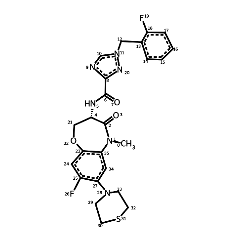 CN1C(=O)[C@@H](NC(=O)c2ncn(Cc3ccccc3F)n2)COc2cc(F)c(N3CCSCC3)cc21